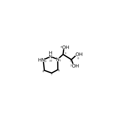 OC(O)C(O)N1CCCNN1